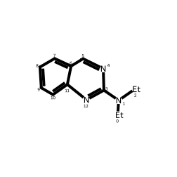 CCN(CC)c1n[c]c2ccccc2n1